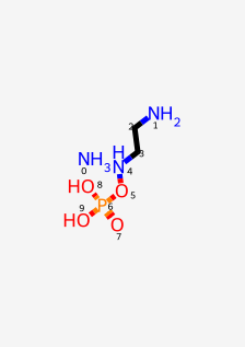 N.NCCNOP(=O)(O)O